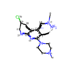 C=c1c(N2CCN(C)CC2)nc2c(/c1=C/N(C)N)=CC(Cl)CN=2